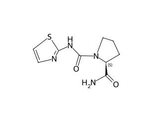 NC(=O)[C@@H]1CCCN1C(=O)Nc1nccs1